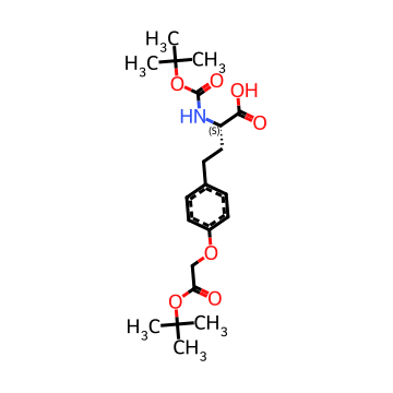 CC(C)(C)OC(=O)COc1ccc(CC[C@H](NC(=O)OC(C)(C)C)C(=O)O)cc1